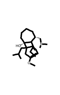 CCCC1[C@@H](CN(C)C)CCCC[C@]1(O)C1(CC(C)C)C=CC=C(OC)C1